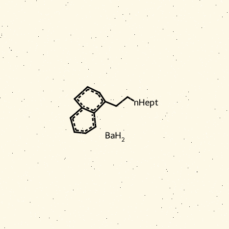 CCCCCCCCCc1cccc2ccccc12.[BaH2]